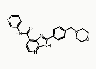 O=C(Nc1cccnc1)c1ccnc2[nH]c(-c3ccc(CN4CCOCC4)cc3)nc12